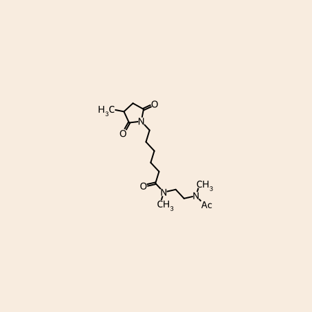 CC(=O)N(C)CCN(C)C(=O)CCCCCN1C(=O)CC(C)C1=O